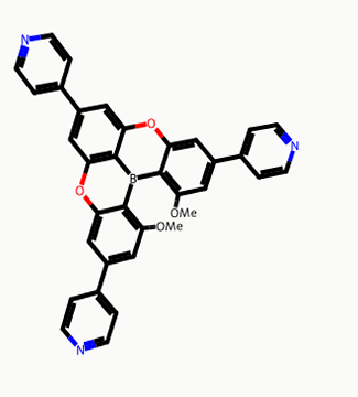 COc1cc(-c2ccncc2)cc2c1B1c3c(OC)cc(-c4ccncc4)cc3Oc3cc(-c4ccncc4)cc(c31)O2